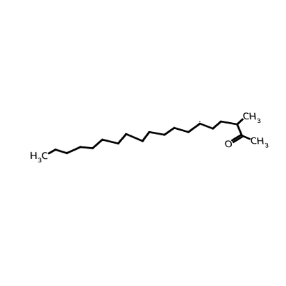 CCCCCCCCCCCCC[CH]CCC(C)C(C)=O